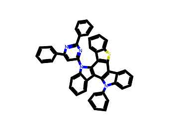 c1ccc(-c2cc(-n3c4ccccc4c4c5c(c6ccccc6n5-c5ccccc5)c5sc6ccccc6c5c43)nc(-c3ccccc3)n2)cc1